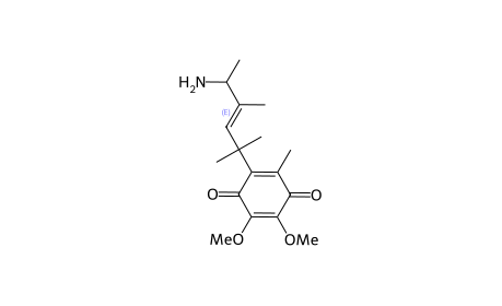 COC1=C(OC)C(=O)C(C(C)(C)/C=C(\C)C(C)N)=C(C)C1=O